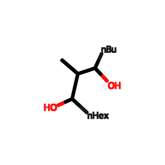 CCCCCCC(O)C(C)C(O)CCCC